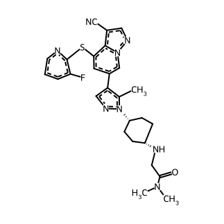 Cc1c(-c2cc(Sc3ncccc3F)c3c(C#N)cnn3c2)cnn1[C@H]1CC[C@@H](NCC(=O)N(C)C)CC1